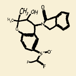 CC1(C)Oc2ccc([S+]([O-])C(F)F)cc2C(N2Cc3ccccc3C2=O)C1O